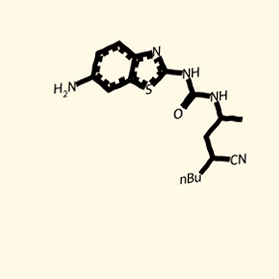 CCCCC(C#N)CC(C)NC(=O)Nc1nc2ccc(N)cc2s1